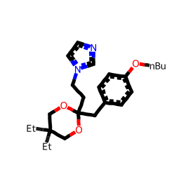 CCCCOc1ccc(CC2(CCn3ccnc3)OCC(CC)(CC)CO2)cc1